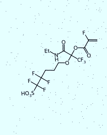 C=C(F)C(=O)OC(OCCCC(F)(F)C(F)(F)S(=O)(=O)O)(C(=O)NCC)C(F)(F)F